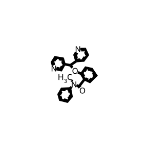 CN(C(=O)c1ccccc1OC(c1cccnc1)c1cccnc1)c1ccccc1